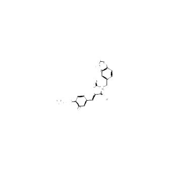 COc1ccc(C=C2SC(=S)N(Cc3ccc4c(c3)OCO4)C2=O)cc1O